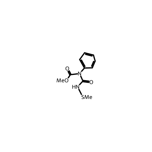 COC(=O)N(C(=O)NSC)c1ccccc1